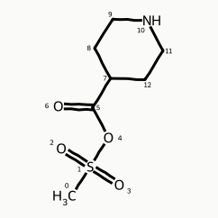 CS(=O)(=O)OC(=O)C1CCNCC1